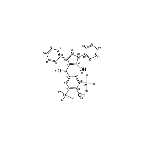 CC(C)(C)c1cc(C(=O)c2c(-c3ccccc3)nn(-c3ccccc3)c2O)cc(C(C)(C)C)c1O